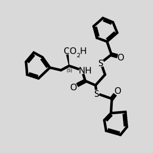 O=C(SCC(SC(=O)c1ccccc1)C(=O)N[C@@H](Cc1ccccc1)C(=O)O)c1ccccc1